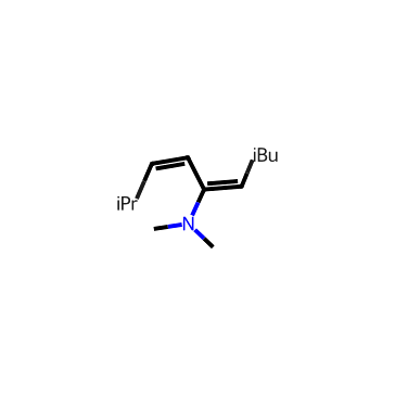 CCC(C)/C=C(\C=C/C(C)C)N(C)C